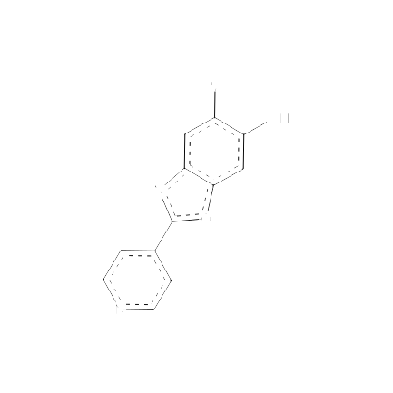 Oc1cc2oc(-c3ccncc3)nc2cc1Cl